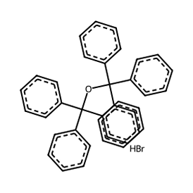 Br.c1ccc(C(OC(c2ccccc2)(c2ccccc2)c2ccccc2)(c2ccccc2)c2ccccc2)cc1